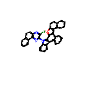 Clc1nc2ccc3ccccc3c2nc1-n1c2ccccc2c2c3ccccc3c3c(oc4ccc5ccccc5c43)c21